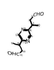 CC(CC=O)c1cnc(C(C)CC=O)cn1